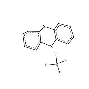 F[B-](F)(F)F.c1ccc2c(c1)Sc1ccccc1S2